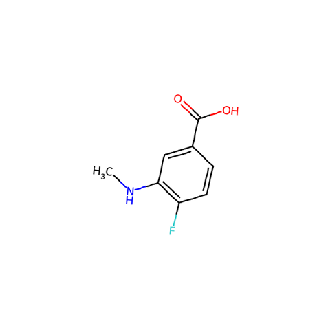 CNc1cc(C(=O)O)ccc1F